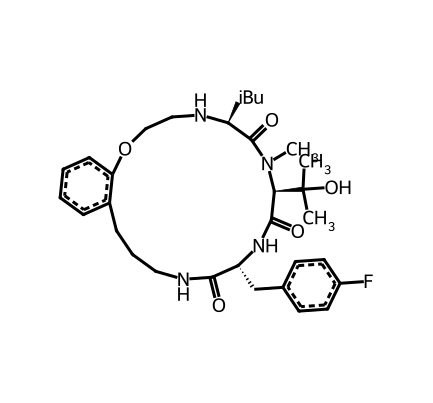 CCC(C)[C@@H]1NCCOc2ccccc2CCCNC(=O)[C@@H](Cc2ccc(F)cc2)NC(=O)[C@H](C(C)(C)O)N(C)C1=O